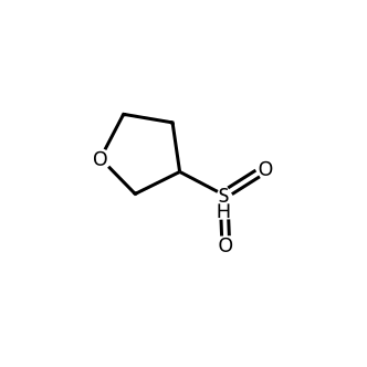 O=[SH](=O)C1CCOC1